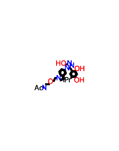 CC(=O)N(C)CCOCCn1ccc2cc(-n3c(O)nnc3-c3cc(C(C)C)c(O)cc3O)ccc21